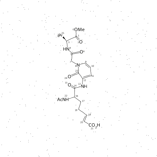 COC(=O)[C@@H](NC(=O)Cn1cccc(NC(=O)C(CCC=CC(=O)O)NC(C)=O)c1=O)C(C)C